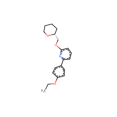 FC(F)(F)COc1ccc(-c2cccc(OC[C@H]3CCCCO3)n2)cc1